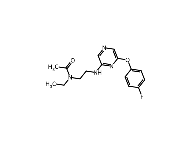 CCN(CCNc1cncc(Oc2ccc(F)cc2)n1)C(C)=O